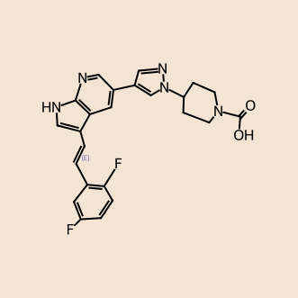 O=C(O)N1CCC(n2cc(-c3cnc4[nH]cc(/C=C/c5cc(F)ccc5F)c4c3)cn2)CC1